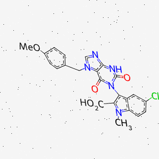 COc1ccc(Cn2cnc3[nH]c(=O)n(-c4c(C(=O)O)n(C)c5ccc(Cl)cc45)c(=O)c32)cc1